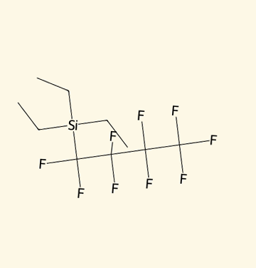 CC[Si](CC)(CC)C(F)(F)C(F)(F)C(F)(F)C(F)(F)F